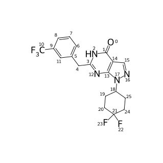 O=c1[nH]c(Cc2cccc(C(F)(F)F)c2)nc2c1cnn2C1CCC(F)(F)CC1